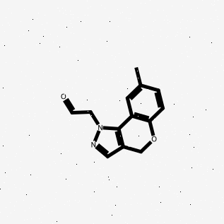 Cc1ccc2c(c1)-c1c(cnn1CC=O)CO2